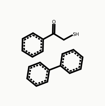 O=C(CS)c1ccccc1.c1ccc(-c2ccccc2)cc1